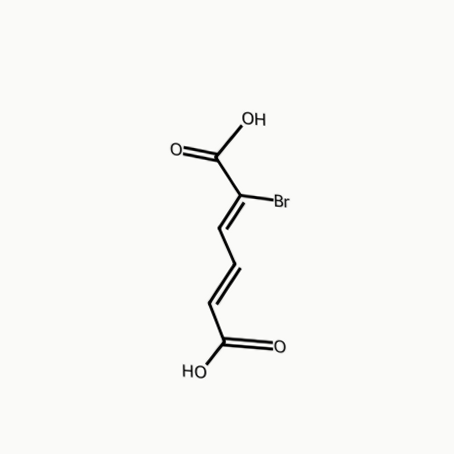 O=C(O)/C=C/C=C(\Br)C(=O)O